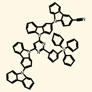 N#Cc1ccc2c(c1)c1ccccc1n2-c1ccc2c(c1)c1ccccc1n2-c1cc(-n2c3ccccc3c3cc(-n4c5ccccc5c5ccccc54)ccc32)nc(-c2cccc([Si](c3ccccc3)(c3ccccc3)c3ccccc3)c2)n1